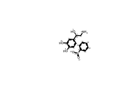 NC[C@H](O)c1ccc(O)c(O)c1.O=[N+]([O-])c1ccccc1